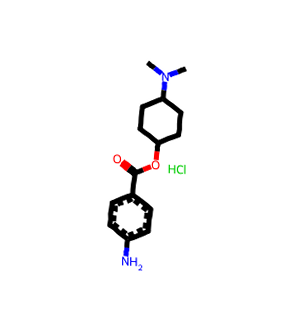 CN(C)C1CCC(OC(=O)c2ccc(N)cc2)CC1.Cl